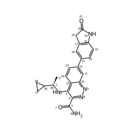 C[C@@H](Nc1c(C(N)=O)nnc2cc(-c3ccc4c(c3)CC(=O)N4)ccc12)C1CC1